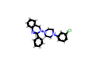 Clc1cccc(N2CCN(N3Cc4ccccc4N=C3c3ccccc3)CC2)c1